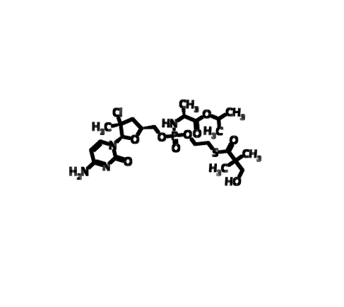 CC(C)OC(=O)[C@H](C)N[P@@](=O)(OCCSC(=O)C(C)(C)CO)OC[C@@H]1C[C@@](C)(Cl)[C@H](n2ccc(N)nc2=O)O1